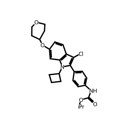 CC(C)OC(=O)Nc1ccc(-c2c(Cl)c3ccc(OC4CCOCC4)cc3n2C2CCC2)cc1